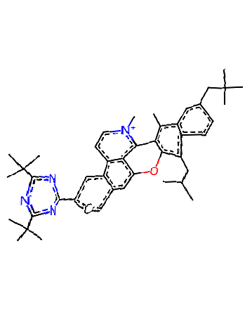 Cc1c2c(c(CC(C)C)c3ccc(CC(C)(C)C)cc13)Oc1cc3ccc(-c4nc(C(C)(C)C)nc(C(C)(C)C)n4)cc3c3cc[n+](C)c-2c13